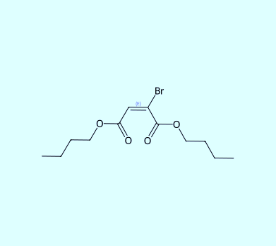 CCCCOC(=O)/C=C(/Br)C(=O)OCCCC